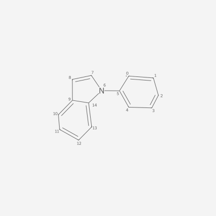 [c]1ccccc1-n1ccc2ccccc21